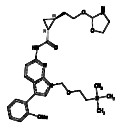 COc1ccccc1-c1cn(COCC[Si](C)(C)C)c2nc(NC(=O)[C@@H]3C[C@H]3CCOC3NCCO3)ccc12